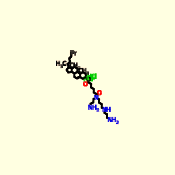 CC(C)CCC[C@@H](C)C1CCC2C3CC=C4CC(OC(=O)CCCCC(=O)N(CCCN)CCCCNCCCN)CCC4(C)C3CCC21C.Cl.Cl.Cl